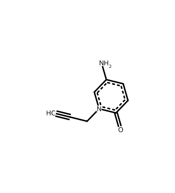 C#CCn1cc(N)ccc1=O